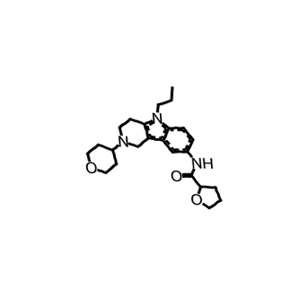 CCCn1c2c(c3cc(NC(=O)C4CCCO4)ccc31)CN(C1CCOCC1)CC2